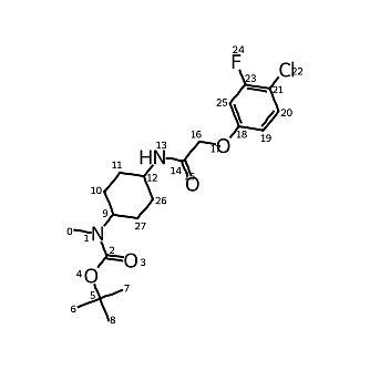 CN(C(=O)OC(C)(C)C)C1CCC(NC(=O)COc2ccc(Cl)c(F)c2)CC1